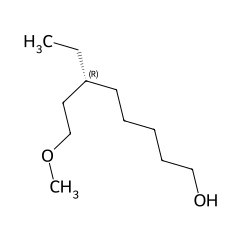 CC[C@H](CCCCCO)CCOC